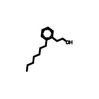 CCCCCCCc1ccccc1CCO